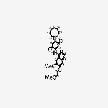 COCCOc1cc2ncnc(NC3=CC(=O)C(N4CCCCCCC4)=CC3=O)c2cc1OC